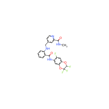 CNC(=O)c1cc(CNc2ccccc2C(=O)Nc2cc3c(cc2F)OC(F)C(F)(F)O3)ccn1